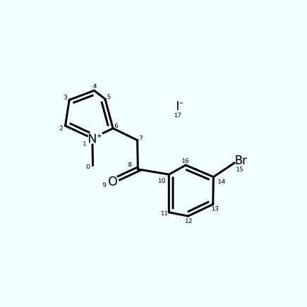 C[n+]1ccccc1CC(=O)c1cccc(Br)c1.[I-]